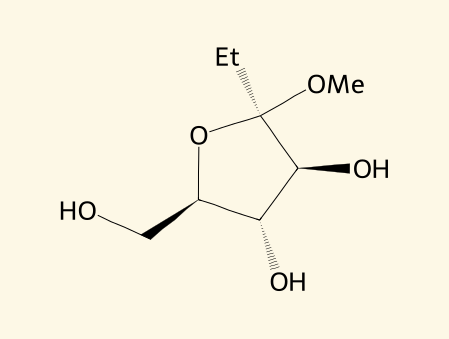 CC[C@@]1(OC)O[C@H](CO)[C@@H](O)[C@@H]1O